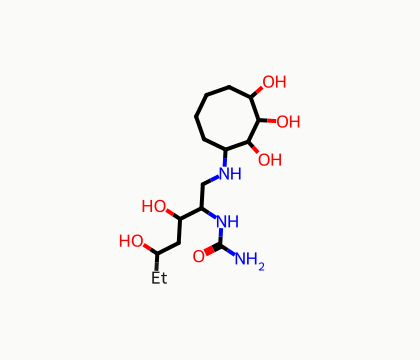 CCC(O)CC(O)C(CNC1CCCCC(O)C(O)C1O)NC(N)=O